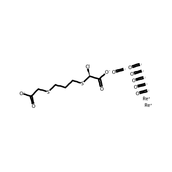 O=C([O-])CSCCCS[C@@H](Cl)C(=O)[O-].[C]=O.[C]=O.[C]=O.[C]=O.[C]=O.[C]=O.[Re+].[Re+]